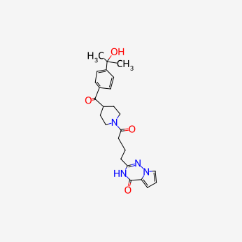 CC(C)(O)c1ccc(C(=O)C2CCN(C(=O)CCCc3nn4cccc4c(=O)[nH]3)CC2)cc1